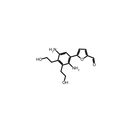 Nc1cc(-c2ccc(C=O)o2)c(N)c(CCO)c1CCO